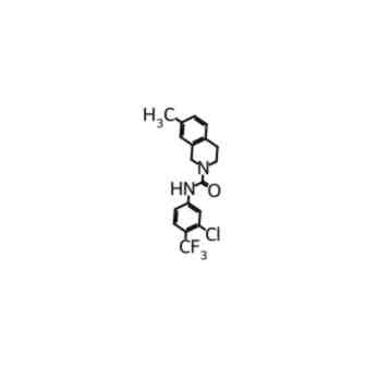 Cc1ccc2c(c1)CN(C(=O)Nc1ccc(C(F)(F)F)c(Cl)c1)CC2